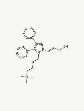 C[Si](C)(C)CCOCn1c(C=CCO)nc(-c2ccccc2)c1-c1ccccc1